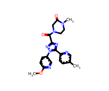 COc1ccc(-n2nc(C(=O)N3CCN(C)C(=O)C3)nc2-c2ccc(C)cn2)cn1